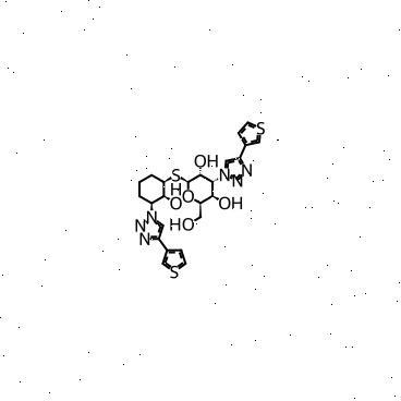 OC[C@H]1O[C@@H](S[C@@H]2CCC[C@H](n3cc(-c4ccsc4)nn3)[C@@H]2O)[C@H](O)[C@H](n2cc(-c3ccsc3)nn2)[C@H]1O